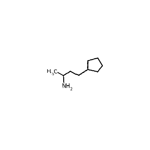 CC(N)CCC1CCCC1